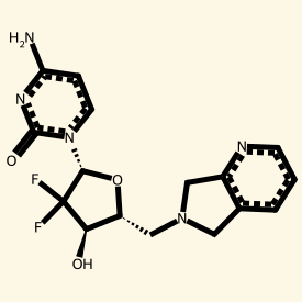 Nc1ccn([C@@H]2O[C@H](CN3Cc4cccnc4C3)[C@@H](O)C2(F)F)c(=O)n1